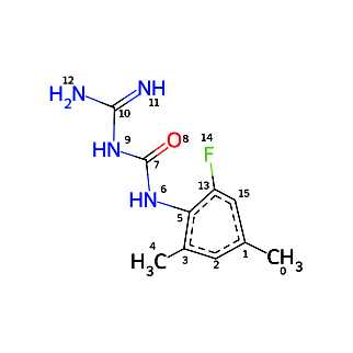 Cc1cc(C)c(NC(=O)NC(=N)N)c(F)c1